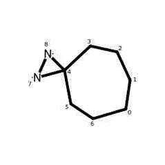 C1CCCC2(CC1)[N][N]2